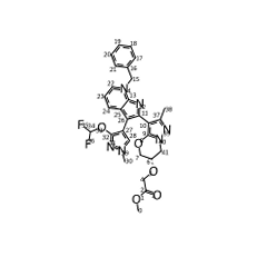 COC(=O)CO[C@@H]1COc2c(-c3nc4n(Cc5ccccc5)cccc-4c3-c3cn(C)nc3OC(F)F)c(C)nn2C1